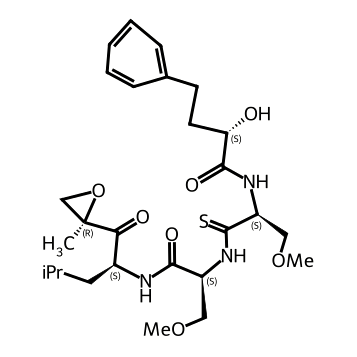 COC[C@H](NC(=S)[C@H](COC)NC(=O)[C@@H](O)CCc1ccccc1)C(=O)N[C@@H](CC(C)C)C(=O)[C@@]1(C)CO1